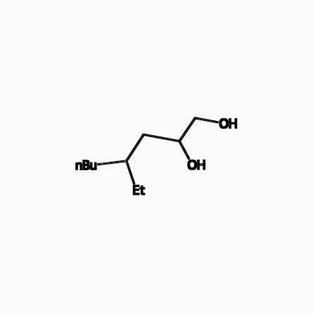 CCCCC(CC)CC(O)CO